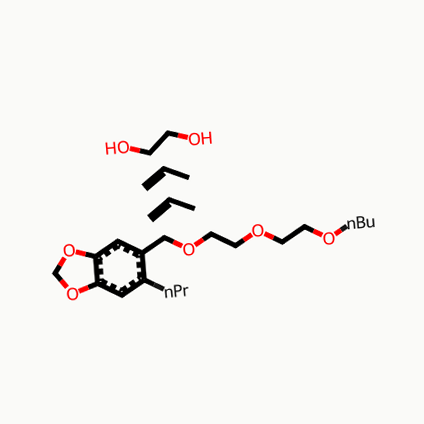 C=CC.C=CC.CCCCOCCOCCOCc1cc2c(cc1CCC)OCO2.OCCO